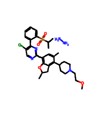 COCCN1CCC(c2c(C)cc(-c3ncc(Cl)c(-c4ccccc4S(=O)(=O)C(C)C)n3)c3c2CC(C)O3)CC1.NN